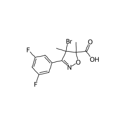 CC1(Br)C(c2cc(F)cc(F)c2)=NOC1(C)C(=O)O